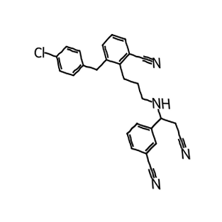 N#CCC(NCCCc1c(C#N)cccc1Cc1ccc(Cl)cc1)c1cccc(C#N)c1